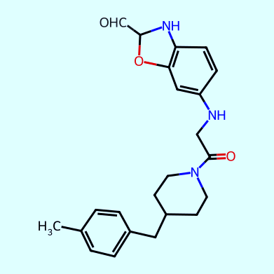 Cc1ccc(CC2CCN(C(=O)CNc3ccc4c(c3)OC(C=O)N4)CC2)cc1